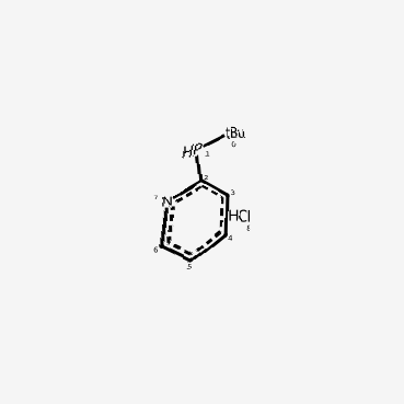 CC(C)(C)Pc1ccccn1.Cl